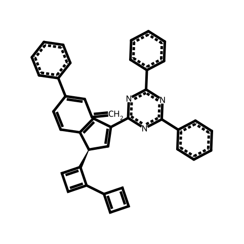 C=C/C=C(\C=C/C1=CC(c2nc(-c3ccccc3)nc(-c3ccccc3)n2)=C[C@H]1C1=CC=C1C1=CC=C1)c1ccccc1